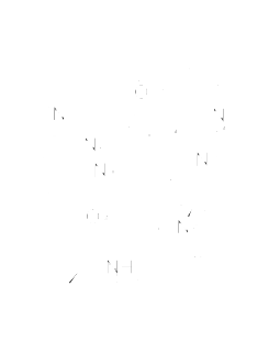 C[C@H](N)COc1ccc2ncc(-c3cc4c(N5CC[C@@H](N(C)C)C5)nccc4o3)n2n1